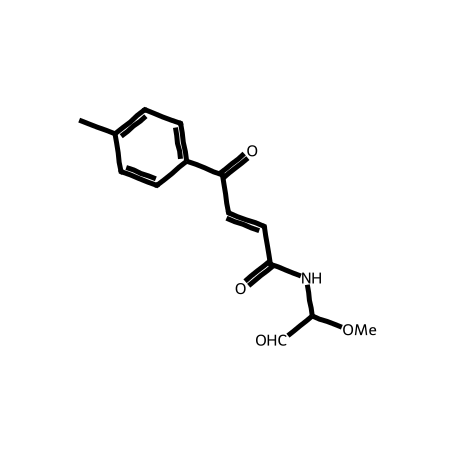 COC(C=O)NC(=O)/C=C/C(=O)c1ccc(C)cc1